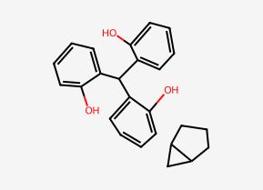 C1CC2CC2C1.Oc1ccccc1C(c1ccccc1O)c1ccccc1O